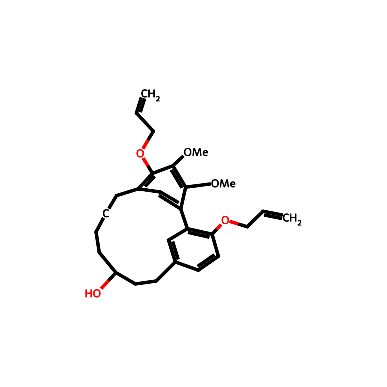 C=CCOc1ccc2cc1-c1cc(c(OCC=C)c(OC)c1OC)CCCCC(O)CC2